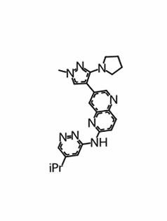 CC(C)c1cnnc(Nc2ccc3ncc(-c4cn(C)nc4N4CCCC4)cc3n2)c1